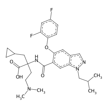 CC(C)Cn1ncc2cc(Oc3ccc(F)cc3F)c(C(=O)NC(CCN(C)C)(CC3CC3)C(=O)O)cc21